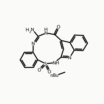 CCCCC.NC1=Nc2ccccc2S(=O)(=O)Nc2cc(c3ccccc3n2)C(=O)N1